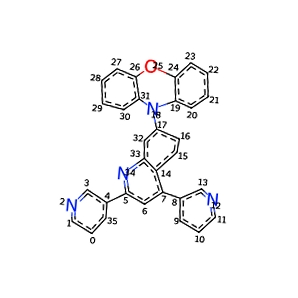 c1cncc(-c2cc(-c3cccnc3)c3ccc(N4c5ccccc5Oc5ccccc54)cc3n2)c1